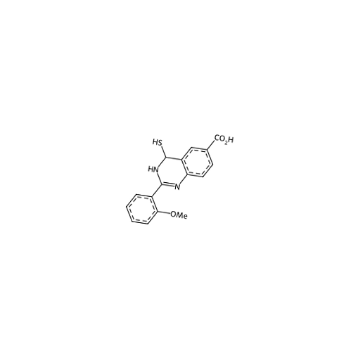 COc1ccccc1C1=Nc2ccc(C(=O)O)cc2C(S)N1